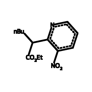 CCCCC(C(=O)OCC)c1ncccc1[N+](=O)[O-]